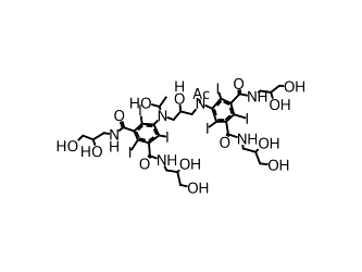 CC(=O)N(CC(O)CN(c1c(I)c(C(=O)NCC(O)CO)c(I)c(C(=O)NCC(O)CO)c1I)C(C)O)c1c(I)c(C(=O)NCC(O)CO)c(I)c(C(=O)NCC(O)CO)c1I